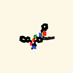 COc1ccc(C(=O)c2cnn(C)c2OCc2ccc3ccccc3c2)c(Cl)c1N=S(C)(=O)Cc1ccccc1